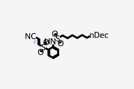 CCCCCCCCCCCCCCCCS(=O)(=O)Nc1ccccc1S(=O)(=O)/C=C/C#N